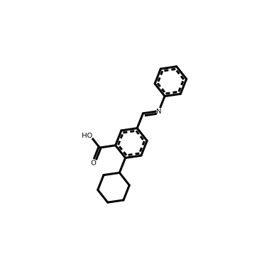 O=C(O)c1cc(/C=N/c2ccccc2)ccc1C1CCCCC1